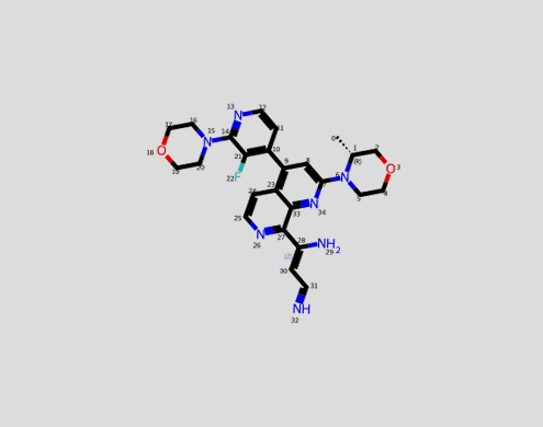 C[C@@H]1COCCN1c1cc(-c2ccnc(N3CCOCC3)c2F)c2ccnc(/C(N)=C/C=N)c2n1